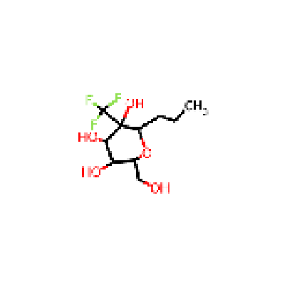 CCCC1OC(CO)C(O)C(O)C1(O)C(F)(F)F